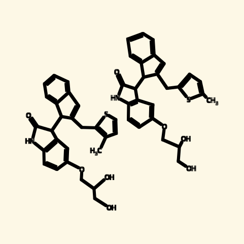 Cc1ccc(CC2=Cc3ccccc3C2C2C(=O)Nc3ccc(OCC(O)CO)cc32)s1.Cc1ccsc1CC1=Cc2ccccc2C1C1C(=O)Nc2ccc(OCC(O)CO)cc21